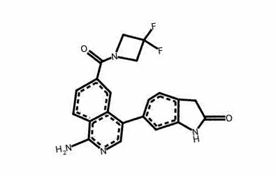 Nc1ncc(-c2ccc3c(c2)NC(=O)C3)c2cc(C(=O)N3CC(F)(F)C3)ccc12